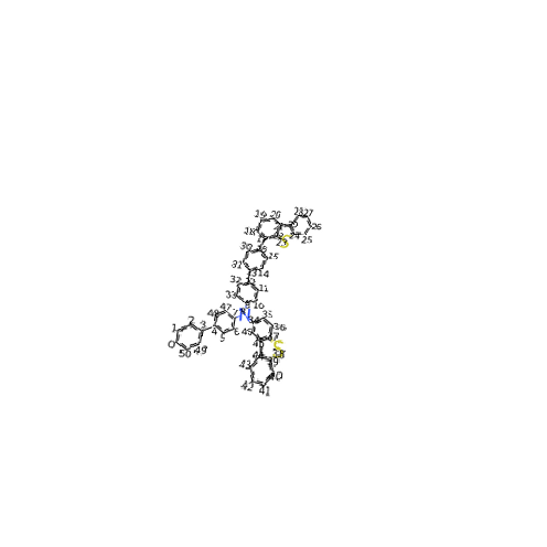 c1ccc(-c2ccc(N(c3ccc(-c4ccc(-c5cccc6c5sc5ccccc56)cc4)cc3)c3ccc4sc5ccccc5c4c3)cc2)cc1